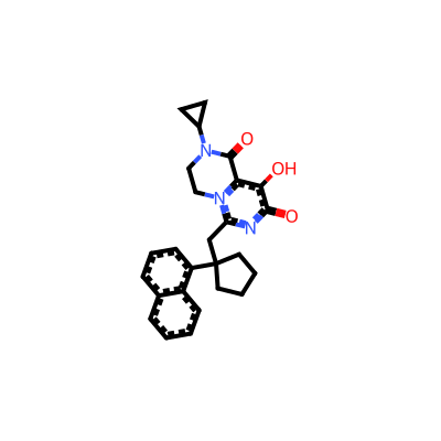 O=C1c2c(O)c(=O)nc(CC3(c4cccc5ccccc45)CCCC3)n2CCN1C1CC1